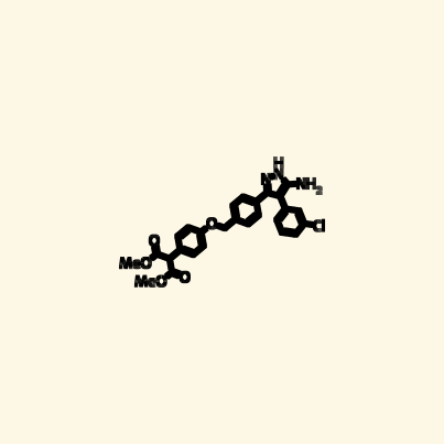 COC(=O)C(C(=O)OC)c1ccc(OCc2ccc(-c3n[nH]c(N)c3-c3cccc(Cl)c3)cc2)cc1